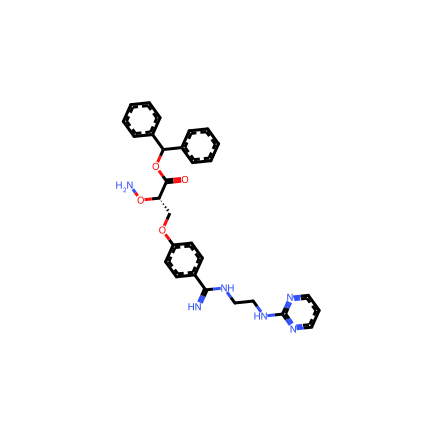 N=C(NCCNc1ncccn1)c1ccc(OC[C@H](ON)C(=O)OC(c2ccccc2)c2ccccc2)cc1